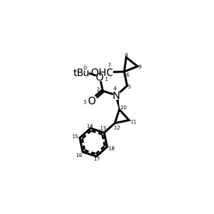 CC(C)(C)OC(=O)N(CC1(C=O)CC1)[C@H]1CC1c1ccccc1